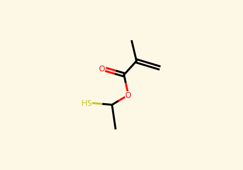 C=C(C)C(=O)OC(C)S